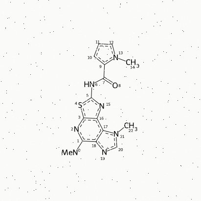 CNc1nc2sc(NC(=O)c3cccn3C)nc2c2c1ncn2C